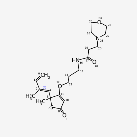 C=C/C(C)=C/C1(C)SC(=O)C=C1OCCCNC(=O)CCN1CCOCC1